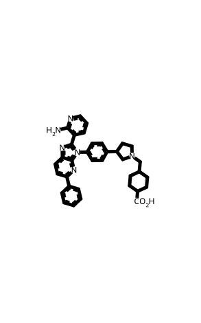 Nc1ncccc1-c1nc2ccc(-c3ccccc3)nc2n1-c1ccc(C2CCN(CC3CCC(C(=O)O)CC3)C2)cc1